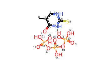 Cc1c[nH]c(=S)[nH]c1=O.O=P(O)(O)OP(=O)(O)OP(=O)(O)O